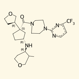 CC1COCC[C@H]1N[C@@H]1CC[C@@](C(=O)N2CCN(c3nccc(C(F)(F)F)n3)CC2)([C@H]2CCOC2)C1